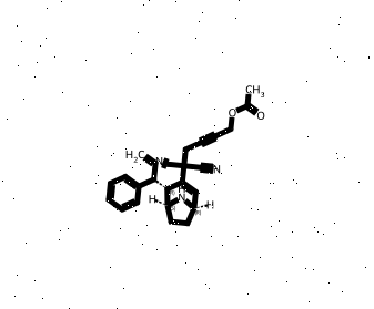 C=CC(c1ccccc1)[C@@H]1C(C(C#N)(C#N)CC#CCOC(C)=O)=C[C@H]2CC[C@@H]1N2